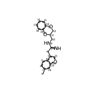 Cc1ccc2c(CC(=N)NCC3COc4ccccc4O3)coc2c1